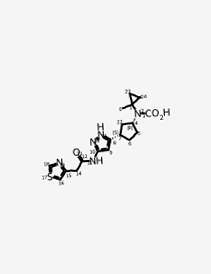 CC1(N(C(=O)O)[C@@H]2CC[C@H](c3cc(NC(=O)Cc4cscn4)n[nH]3)C2)CC1